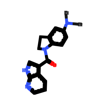 CCN(CC)c1ccc2c(c1)CCN2C(=O)c1c[nH]c2ncccc12